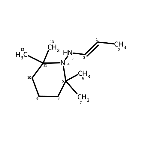 CC=CNN1C(C)(C)CCCC1(C)C